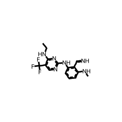 CCNc1nc(Nc2cccc(NC)c2C=N)ncc1C(F)(F)F